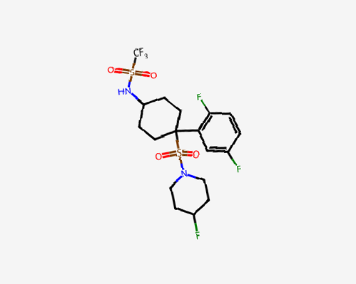 O=S(=O)(NC1CCC(c2cc(F)ccc2F)(S(=O)(=O)N2CCC(F)CC2)CC1)C(F)(F)F